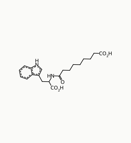 O=C(O)CCCCCCCC(=O)NC(Cc1c[nH]c2ccccc12)C(=O)O